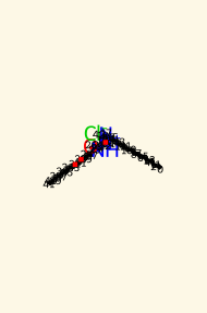 CCCCCCCCCCCCCCCCC1=NC=C[N+]1(C)CCNC(=O)CCCCCCCCCCCCCCC.[Cl-]